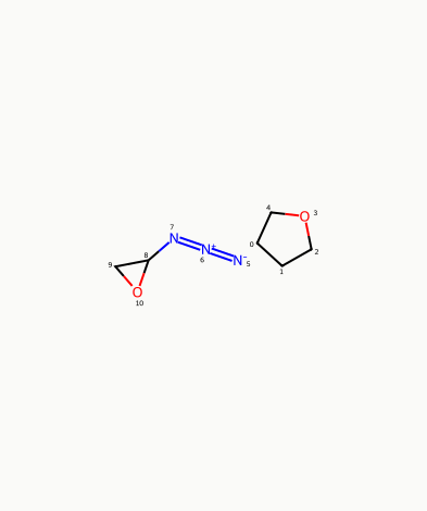 C1CCOC1.[N-]=[N+]=NC1CO1